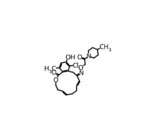 Cc1cc(O)c(Cl)c2c1C(=O)OCC/C=C/CC/C=C/C(=N/OCC(=O)N1CCC(C)CC1)C2